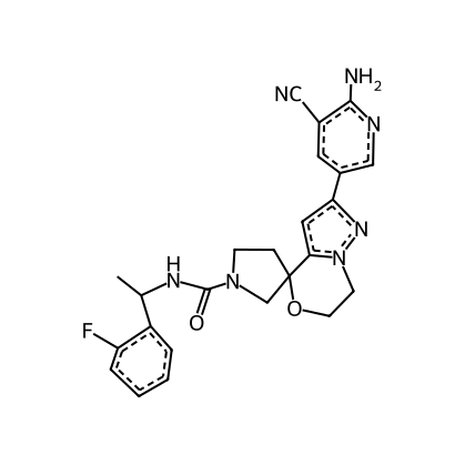 CC(NC(=O)N1CCC2(C1)OCCn1nc(-c3cnc(N)c(C#N)c3)cc12)c1ccccc1F